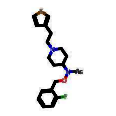 CC(=O)N(OCc1ccccc1F)C1CCN(CCc2ccsc2)CC1